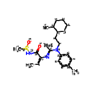 C/C=C(/N=C(\SC)N(CCC1CCCCC1C#N)c1ccc(C)cc1)C(=O)N[S+](C)[O-]